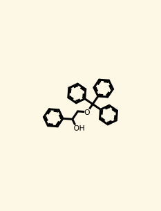 OC(COC(c1ccccc1)(c1ccccc1)c1ccccc1)c1ccccc1